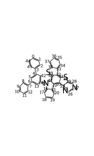 c1ccc(-c2cc(-c3ccccc3)cc(-n3c4ccccc4c4c5c6ncncc6sc5c5c6ccccc6sc5c43)c2)cc1